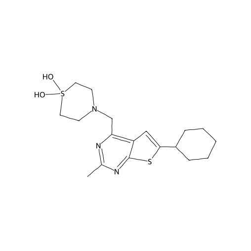 Cc1nc(CN2CCS(O)(O)CC2)c2cc(C3CCCCC3)sc2n1